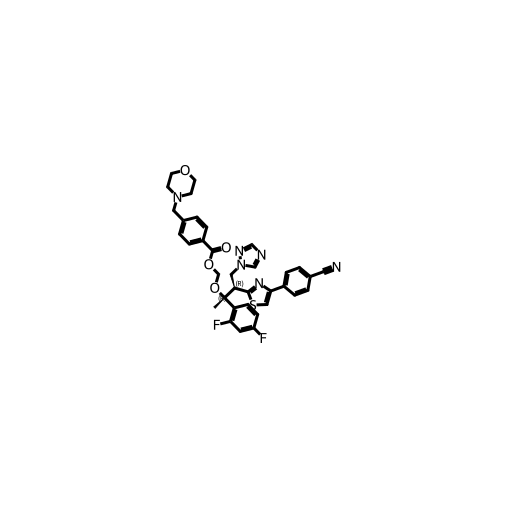 C[C@](OCOC(=O)c1ccc(CN2CCOCC2)cc1)(c1ccc(F)cc1F)[C@@H](Cn1cncn1)c1nc(-c2ccc(C#N)cc2)cs1